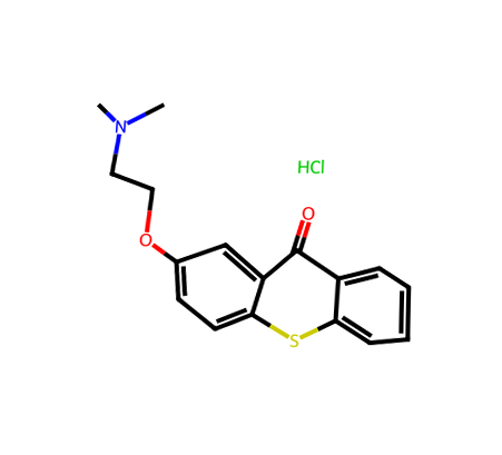 CN(C)CCOc1ccc2sc3ccccc3c(=O)c2c1.Cl